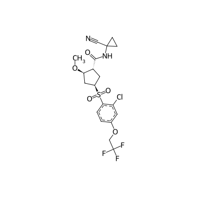 CO[C@@H]1C[C@H](S(=O)(=O)c2ccc(OCC(F)(F)F)cc2Cl)C[C@H]1C(=O)NC1(C#N)CC1